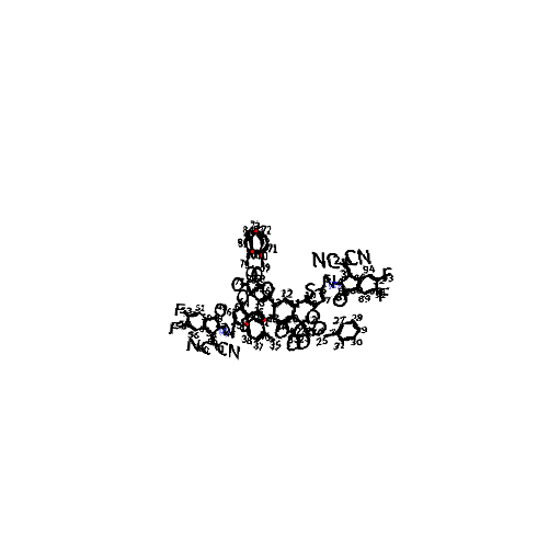 N#CC(C#N)=C1/C(=N/c2cc3c(s2)C2=CC4C=C5C(=CC4C=C2C(C(=O)OCc2ccccc2)(C(=O)OCc2ccccc2)O3)c2sc(/N=C3\C(=O)c4cc(F)c(F)cc4C3=C(C#N)C#N)cc2OC5(C(=O)OCc2ccccc2)C(=O)OCc2ccccc2)C(=O)c2cc(F)c(F)cc21